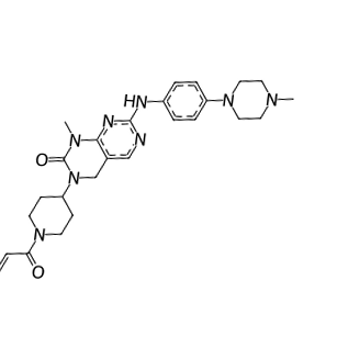 C=CC(=O)N1CCC(N2Cc3cnc(Nc4ccc(N5CCN(C)CC5)cc4)nc3N(C)C2=O)CC1